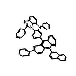 c1ccc(-c2ccc3c(-c4ccc5ccccc5c4)c4ccccc4c(-c4ccc5c(c4)N(c4ccccc4)c4cccc6nc(-c7ccccc7)n-5c46)c3c2)cc1